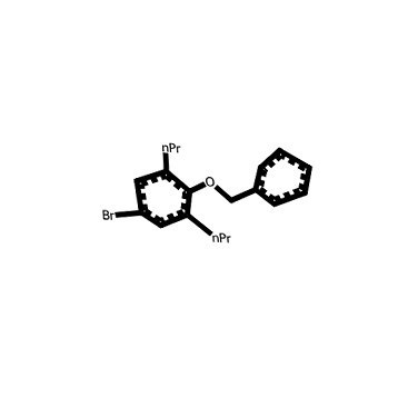 CCCc1cc(Br)cc(CCC)c1OCc1ccccc1